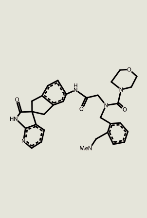 CNCc1ccccc1CN(CC(=O)Nc1ccc2c(c1)CC1(C2)C(=O)Nc2ncccc21)C(=O)N1CCOCC1